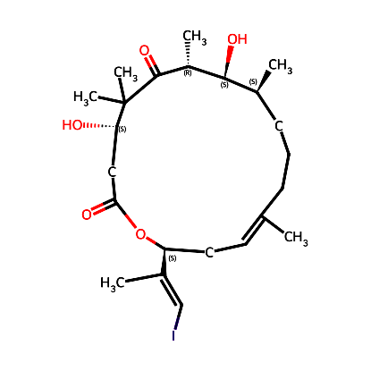 CC1=CC[C@@H](C(C)=CI)OC(=O)C[C@H](O)C(C)(C)C(=O)[C@H](C)[C@@H](O)[C@@H](C)CCC1